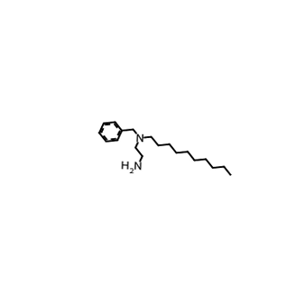 CCCCCCCCCCN(CCN)Cc1ccccc1